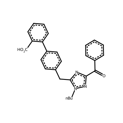 CCCCn1nc(C(=O)c2ccccc2)nc1Cc1ccc(-c2ccccc2C(=O)O)cc1